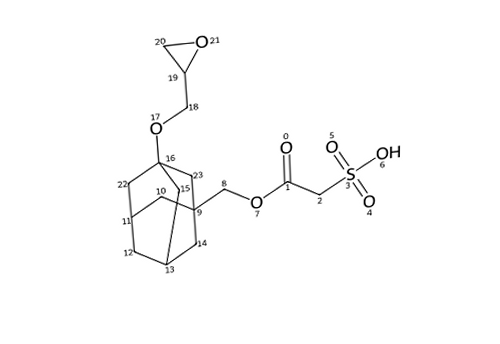 O=C(CS(=O)(=O)O)OCC12CC3CC(C1)CC(OCC1CO1)(C3)C2